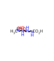 CN(C)CCNC(=CNCCNC(=O)O)OO